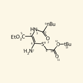 CCCCC(=O)NC(C(=O)OCC)=C(N)SCC(=O)OC(C)(C)C